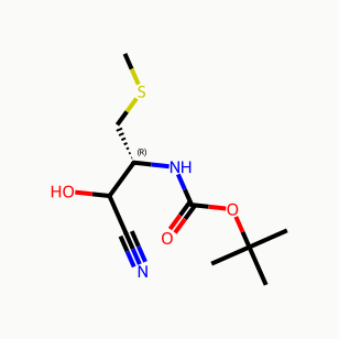 CSC[C@H](NC(=O)OC(C)(C)C)C(O)C#N